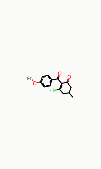 CCOc1ccc(C(=O)C2=C(Cl)CC(C)CC2=O)cc1